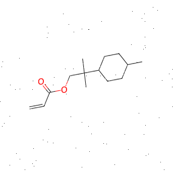 C=CC(=O)OCC(C)(C)C1CCC(C)CC1